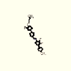 C=CCCOc1ccc(-c2ccc(/C=C/c3ccc(C4=CCC(C)CC4)c(F)c3F)cc2)cc1F